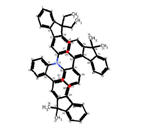 CCC1(CC)c2ccccc2-c2cc(N(c3ccccc3-c3ccc4c(c3)C(C)(C)c3ccccc3-4)c3ccccc3-c3cccc4c3-c3ccccc3C4(C)C)ccc21